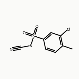 Cc1ccc(S(=O)(=O)SC#N)cc1Cl